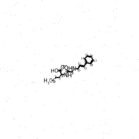 CSCCC(NC(=O)CNC/C=C/c1ccccc1)C(=O)O